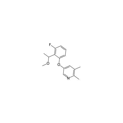 COC(C)c1c(F)cccc1Oc1cnc(C)c(C)c1